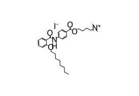 CCCCCCCCOc1ccccc1C(=O)Nc1ccc(C(=O)OCCCC[N+](C)(C)C)cc1.[I-]